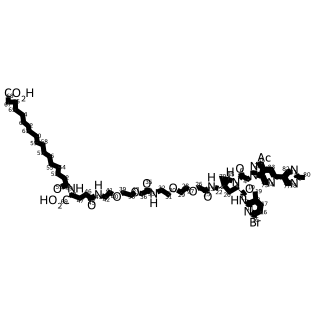 CC(=O)c1nn(CC(=O)N2[C@H](C(=O)Nc3nc(Br)ccc3C)C[C@@]3(CNC(=O)COCCOCCNC(=O)COCCOCCNC(=O)CC[C@H](NC(=O)CCCCCCCCCCCCCCCCC(=O)O)C(=O)O)C[C@@H]23)c2cnc(-c3cnc(C)nc3)cc12